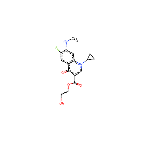 CNc1cc2c(cc1F)c(=O)c(C(=O)OCCO)cn2C1CC1